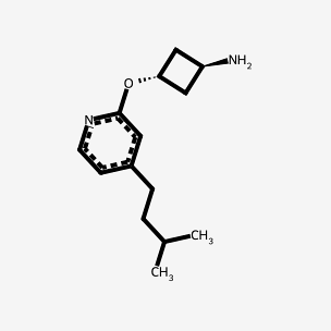 CC(C)CCc1ccnc(O[C@H]2C[C@H](N)C2)c1